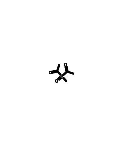 CC(=O)P(C)(=O)C(C)=O